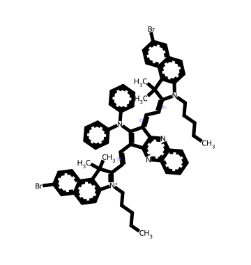 CCCCCN1/C(=C/C=C2C(N(c3ccccc3)c3ccccc3)=C(/C=C/C3=[N+](CCCCC)c4ccc5cc(Br)ccc5c4C3(C)C)c3nc4ccccc4nc3/2)C(C)(C)c2c1ccc1cc(Br)ccc21